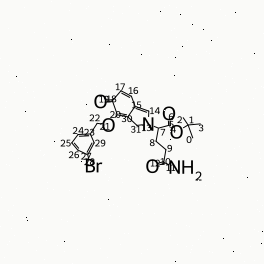 CC(C)(C)OC(=O)C(CCC(N)=O)N1C=C2C=CC(=O)C(OCc3cccc(Br)c3)=C2C1